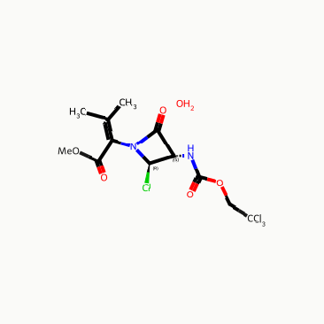 COC(=O)C(=C(C)C)N1C(=O)[C@H](NC(=O)OCC(Cl)(Cl)Cl)[C@H]1Cl.O